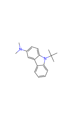 CN(C)c1ccc2c(c1)c1ccccc1n2C(C)(C)C